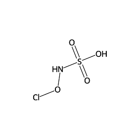 O=S(=O)(O)NOCl